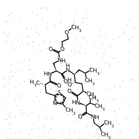 COCCOC(=O)NC[C@H](NC(=O)[C@@H](C)Cc1nc(C)cs1)C(=O)N[C@@H](CC(C)C)[C@@H](O)C[C@@H](C)C(=O)N[C@H](C(=O)NCC(C)C)C(C)C